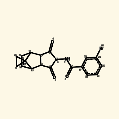 O=C(NN1C(=O)C2C(C1=O)C1C=CC2C12CC2)c1cccc(Br)c1